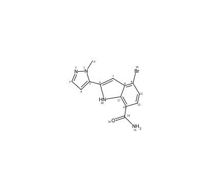 Cn1nccc1-c1cc2c(Br)ccc(C(N)=O)c2[nH]1